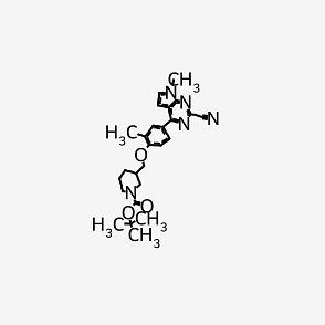 Cc1cc(-c2nc(C#N)nc3c2ccn3C)ccc1OCC1CCCN(C(=O)OC(C)(C)C)C1